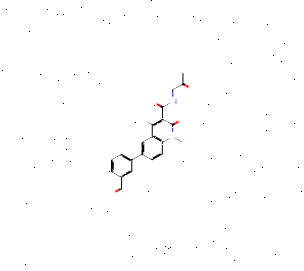 CC(=O)CNC(=O)c1c(O)c2cc(-c3cccc(C=O)c3)ccc2n(C)c1=O